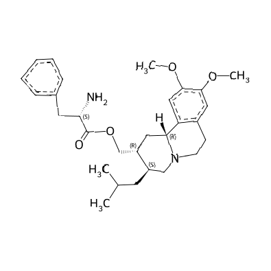 COc1cc2c(cc1OC)[C@H]1C[C@@H](COC(=O)[C@@H](N)Cc3ccccc3)[C@H](CC(C)C)CN1CC2